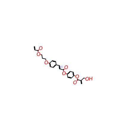 C=CC(=O)OCCCOc1ccc(/C=C/C(=O)Oc2ccc(OC(=O)C(=C)CO)cc2)cc1